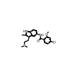 COc1cc(Cl)ccc1C(=O)Nc1ccc2[nH]c(C)c(CCN(C)C)c2c1